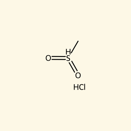 C[SH](=O)=O.Cl